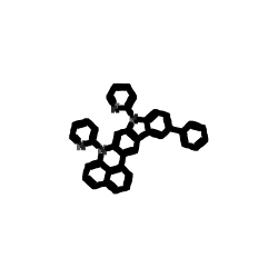 c1ccc(-c2ccc3c(c2)c2cc4c(cc2n3-c2ccccn2)N(c2ccccn2)c2cccc3cccc-4c23)cc1